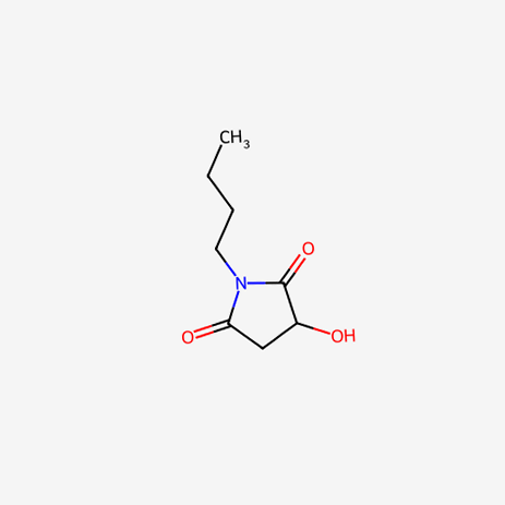 CCCCN1C(=O)CC(O)C1=O